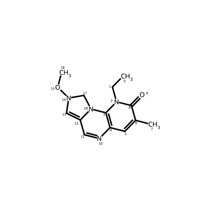 CCn1c2c(cc(C)c1=O)N=CC1=CN(OC)CN12